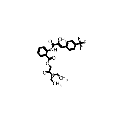 CCN(CC)C(=O)COC(=O)c1ccccc1NC(=O)C(C)=Cc1ccc(C(F)(F)F)cc1